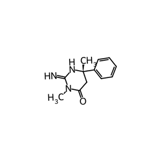 CN1C(=N)N[C@](C)(c2ccccc2)CC1=O